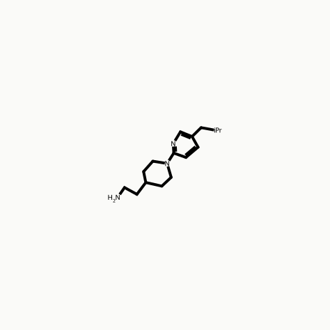 CC(C)Cc1ccc(N2CCC(CCN)CC2)nc1